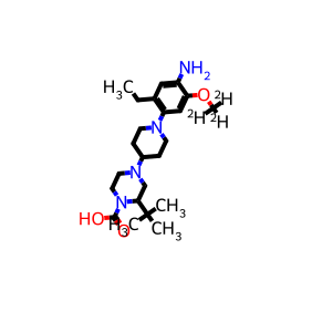 [2H]C([2H])([2H])Oc1cc(N2CCC(N3CCN(C(=O)O)C(C(C)(C)C)C3)CC2)c(CC)cc1N